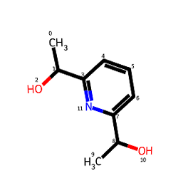 CC(O)c1cccc(C(C)O)n1